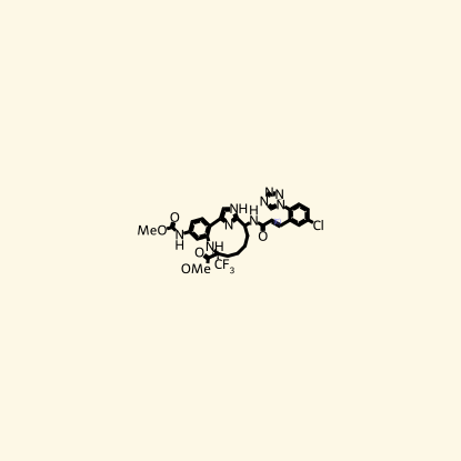 COC(=O)Nc1ccc2c(c1)N[C@@](C(=O)OC)(C(F)(F)F)CCCCC(NC(=O)/C=C/c1cc(Cl)ccc1-n1cnnn1)c1nc-2c[nH]1